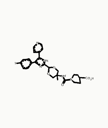 CC1(NC(=O)N2CCC(C(=O)O)CC2)COC(c2nc(-c3ccc(F)cc3)c(-c3ccncc3)[nH]2)OC1